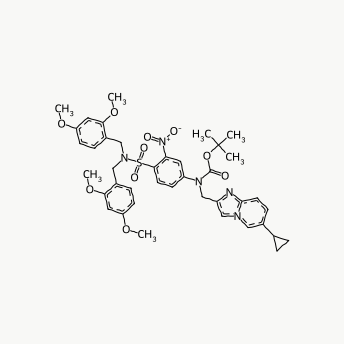 COc1ccc(CN(Cc2ccc(OC)cc2OC)S(=O)(=O)c2ccc(N(Cc3cn4cc(C5CC5)ccc4n3)C(=O)OC(C)(C)C)cc2[N+](=O)[O-])c(OC)c1